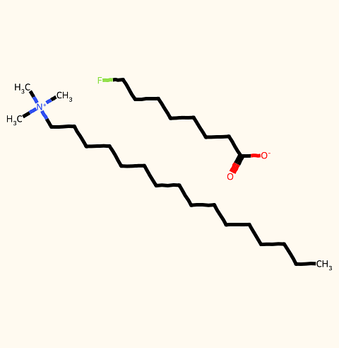 CCCCCCCCCCCCCCCC[N+](C)(C)C.O=C([O-])CCCCCCCF